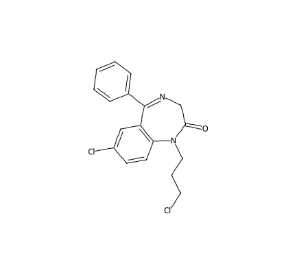 O=C1CN=C(c2ccccc2)c2cc(Cl)ccc2N1CCCCl